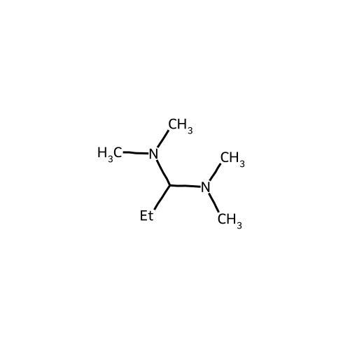 [CH2]CC(N(C)C)N(C)C